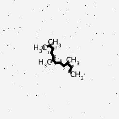 [CH2]CC[C@@H](C)CCC[C@H](C)CCCC(C)C